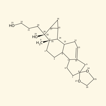 C[C@]12CCC3C4CCC5(CC4=CCC3C1C1CC1[C@@]2(O)CCCO)OCCO5